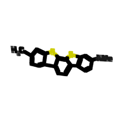 CNc1ccc2c(c1)sc1c2ccc2c3ccc(C)cc3sc21